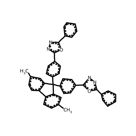 Cc1ccc2c(c1)C(c1ccc(-c3nnc(-c4ccccc4)o3)cc1)(c1ccc(-c3nnc(-c4ccccc4)o3)cc1)c1cc(C)ccc1-2